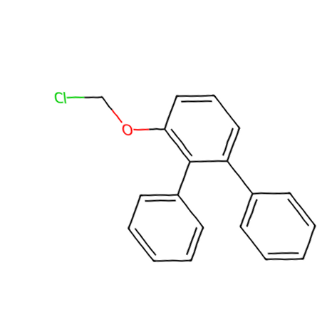 ClCOc1cccc(-c2ccccc2)c1-c1ccccc1